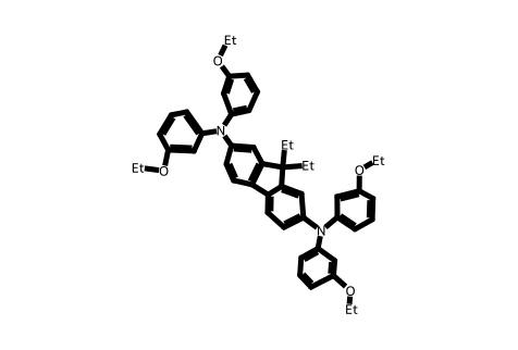 CCOc1cccc(N(c2cccc(OCC)c2)c2ccc3c(c2)C(CC)(CC)c2cc(N(c4cccc(OCC)c4)c4cccc(OCC)c4)ccc2-3)c1